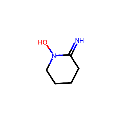 N=C1CCCCN1O